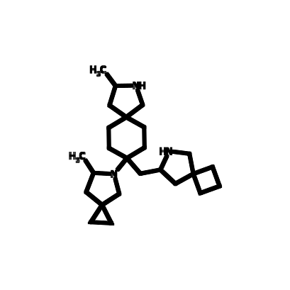 CC1CC2(CCC(CC3CC4(CCC4)CN3)(N3CC4(CC4)CC3C)CC2)CN1